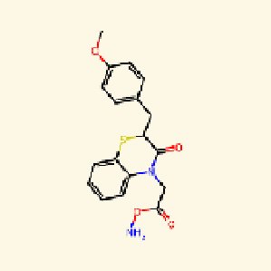 COc1ccc(CC2Sc3ccccc3N(CC(=O)ON)C2=O)cc1